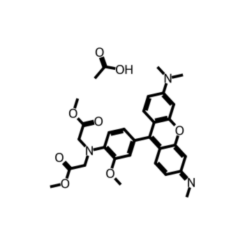 CC(=O)O.CN=c1ccc2c(-c3ccc(N(CC(=O)OC)CC(=O)OC)c(OC)c3)c3ccc(N(C)C)cc3oc-2c1